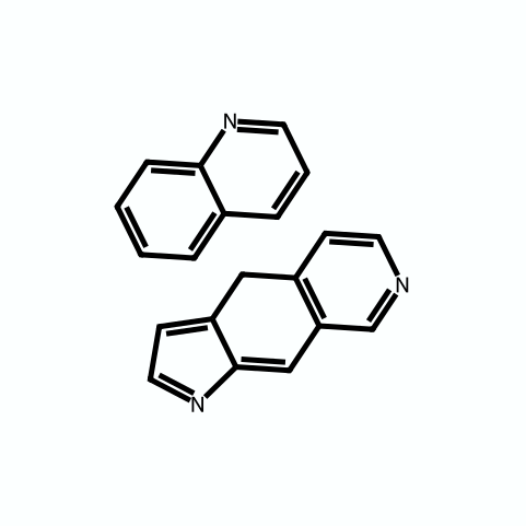 C1=NC2=Cc3cnccc3CC2=C1.c1ccc2ncccc2c1